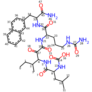 CCC(C)C(NC(=O)C(CC(C)C)NC(=O)O)C(=O)C(=O)NC(CCCNC(N)=O)C(=O)NC(Cc1ccc2ccccc2c1)C(N)=O